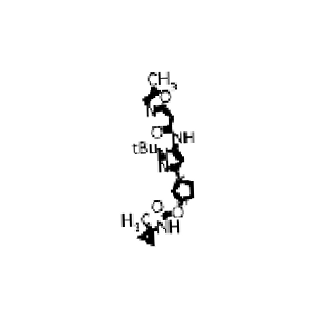 Cc1cnc(CC(=O)Nc2cc([C@H]3CC[C@@H](OC(=O)NC4(C)CC4)C3)nn2C(C)(C)C)o1